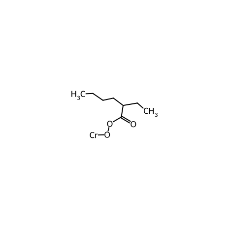 CCCCC(CC)C(=O)O[O][Cr]